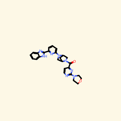 O=C(c1ccnc(N2CCOCC2)n1)N1CC2CC1CN2c1cccc(-c2nc3ccccc3[nH]2)n1